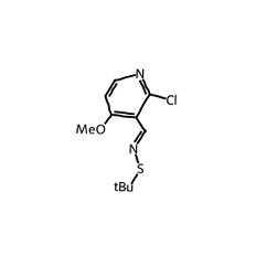 COc1ccnc(Cl)c1C=NSC(C)(C)C